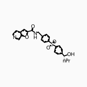 CCC[C@@H](O)c1ccc(S(=O)(=O)c2ccc(CNC(=O)c3cc4ccncc4o3)cc2)cc1